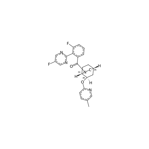 Cc1ccc(O[C@@H]2C[C@H]3CC[C@@H]2N(C(=O)c2cccc(F)c2-c2ncc(F)cn2)C3)nc1